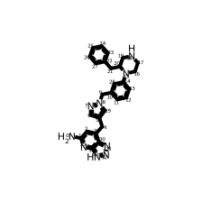 Nc1cc(Cc2cnn(Cc3cccc(N4CCNCC4Cc4ccccc4)c3)c2)c2nn[nH]c2n1